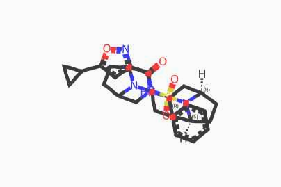 O=C(N[C@H]1C[C@H]2CC[C@@H](C1)N2S(=O)(=O)N1CC2CCC(C1)N2CCc1ccccc1)c1cc(C2CC2)on1